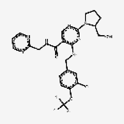 [2H]C([2H])([2H])Oc1ccc(CNc2nc(N3CCCC3CO)ncc2C(=O)NCc2ncccn2)cc1Cl